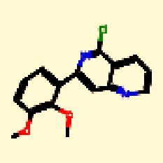 COc1cccc(-c2cc3ncccc3c(Cl)n2)c1OC